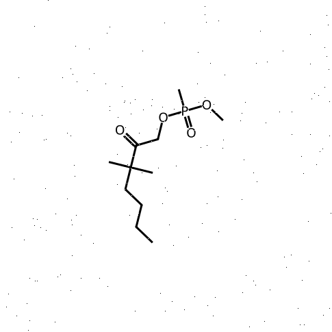 CCCCC(C)(C)C(=O)COP(C)(=O)OC